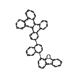 c1ccc2c(c1)oc1c(-c3ccc(-c4ccc5c(c4)c4ccccc4c4c6ccccc6c6ccccc6c54)c4ccccc34)cccc12